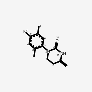 C=C1CCN(c2cc(C)c(F)cc2C)C(=O)N1